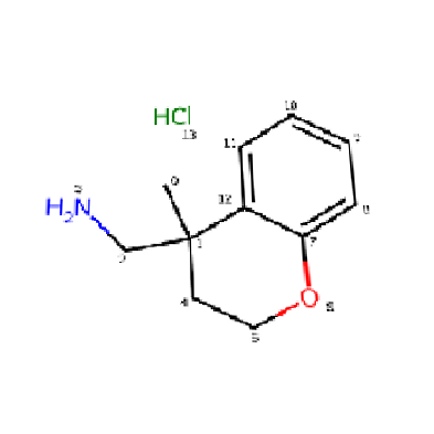 CC1(CN)CCOc2ccccc21.Cl